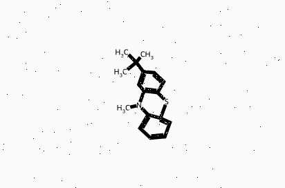 CN1c2ccccc2Sc2ccc(C(C)(C)C)cc21